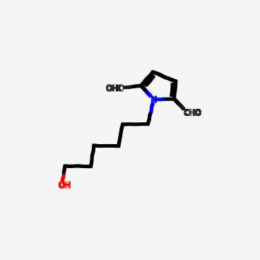 O=Cc1ccc(C=O)n1CCCCCCO